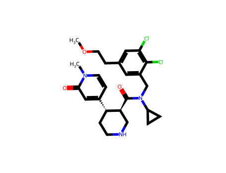 COCCc1cc(Cl)c(Cl)c(CN(C(=O)[C@H]2CNCC[C@@H]2c2ccn(C)c(=O)c2)C2CC2)c1